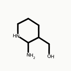 NC1NCCCC1CO